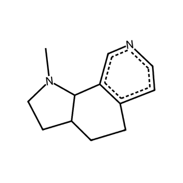 CN1CCC2CCc3ccncc3C21